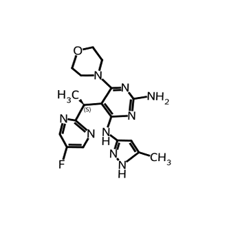 Cc1cc(Nc2nc(N)nc(N3CCOCC3)c2[C@H](C)c2ncc(F)cn2)n[nH]1